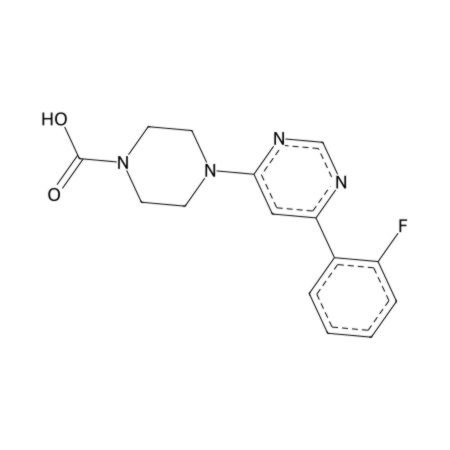 O=C(O)N1CCN(c2cc(-c3ccccc3F)ncn2)CC1